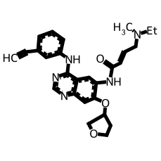 C#Cc1cccc(Nc2ncnc3cc(OC4CCOC4)c(NC(=O)C=CCN(C)CC)cc23)c1